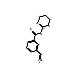 C=Cc1cccc(C(=O)OC2CCCCO2)c1